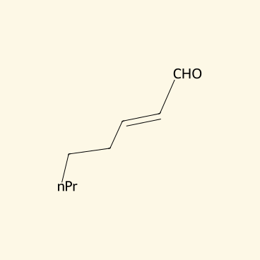 CCCCCC=CC=O